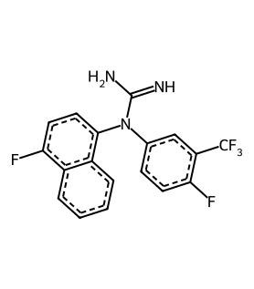 N=C(N)N(c1ccc(F)c(C(F)(F)F)c1)c1ccc(F)c2ccccc12